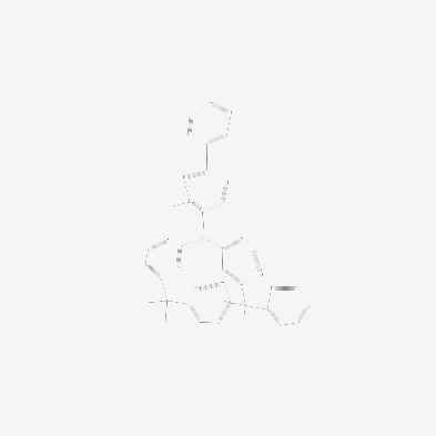 Cc1cc(-c2ccccc2)ccc1N(c1ccc2c(c1)C(C)(C)c1ccccc1-2)c1cccc2c1-c1ccccc1C2(C)C